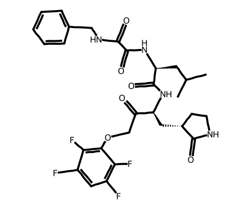 CC(C)C[C@H](NC(=O)C(=O)NCc1ccccc1)C(=O)N[C@@H](C[C@@H]1CCNC1=O)C(=O)COc1c(F)c(F)cc(F)c1F